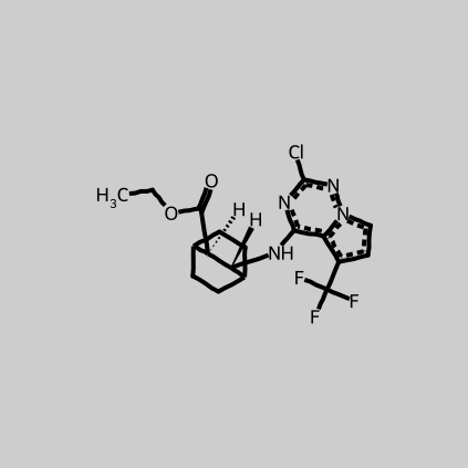 CCOC(=O)[C@@H]1C2CCC(CC2)[C@H]1Nc1nc(Cl)nn2ccc(C(F)(F)F)c12